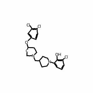 Oc1c(Cl)cccc1N1CCC(CN2CCC(Oc3ccc(Cl)c(Cl)c3)CC2)CC1